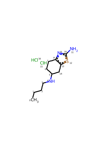 CCCCNC1CCc2nc(N)sc2C1.Cl.Cl